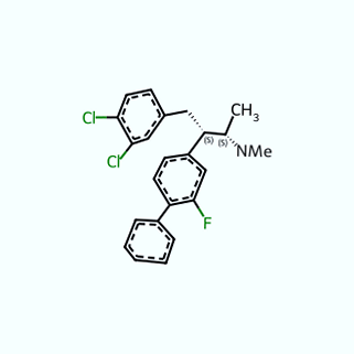 CN[C@@H](C)[C@@H](Cc1ccc(Cl)c(Cl)c1)c1ccc(-c2ccccc2)c(F)c1